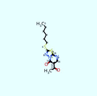 CCCCCCSc1nn2c(=O)c(C(C)=O)cnc2s1